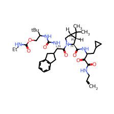 C=CCNC(=O)C(=O)C(CC1CC1)NC(=O)[C@@H]1[C@@H]2[C@H](CN1C(=O)[C@@H](NC(=O)NC(COC(=O)NCC)C(C)(C)C)C1Cc3ccccc3C1)C2(C)C